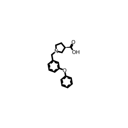 O=C(O)[C@@H]1CCN(Cc2cccc(Oc3ccccc3)c2)C1